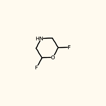 F[C]1CNCC(F)O1